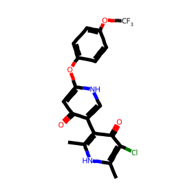 Cc1[nH]c(C)c(-c2c[nH]c(Oc3ccc(OC(F)(F)F)cc3)cc2=O)c(=O)c1Cl